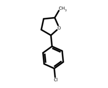 CC1CCC(c2ccc(Cl)cc2)O1